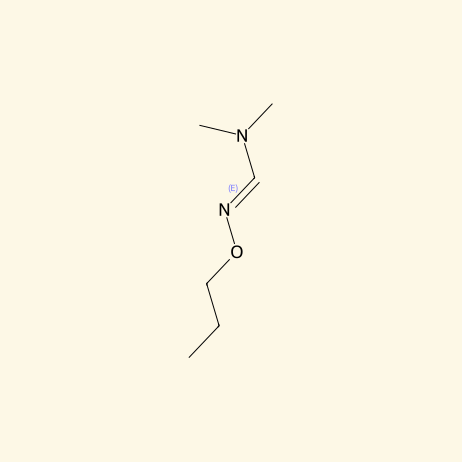 CCCO/N=C/N(C)C